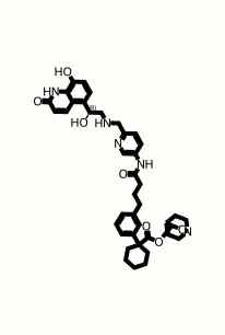 O=C(CCCc1cccc(C2(C(=O)OC3CN4CCC3CC4)CCCCC2)c1)Nc1ccc(CNC[C@H](O)c2ccc(O)c3[nH]c(=O)ccc23)nc1